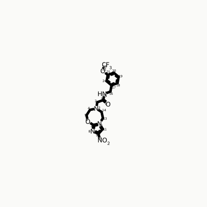 O=C(CN1CCOc2nc([N+](=O)[O-])cn2CC1)NCc1cccc(OC(F)(F)F)c1